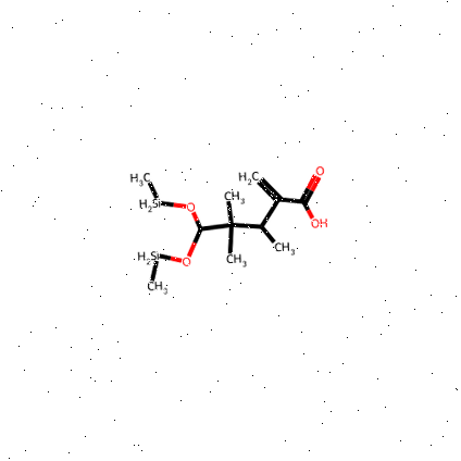 C=C(C(=O)O)C(C)C(C)(C)C(O[SiH2]C)O[SiH2]C